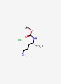 CC(C)(C)OC(=O)N[C@@H](CCCN)C(=O)O.Cl